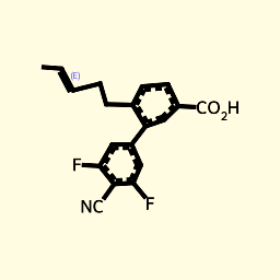 C/C=C/CCc1ccc(C(=O)O)cc1-c1cc(F)c(C#N)c(F)c1